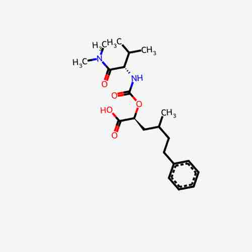 CC(CCc1ccccc1)C[C@H](OC(=O)N[C@H](C(=O)N(C)C)C(C)C)C(=O)O